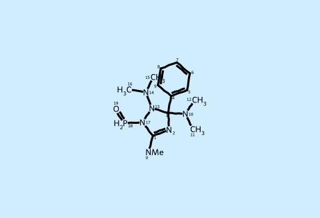 CNC1=NC(c2ccccc2)(N(C)C)N(N(C)C)N1[PH2]=O